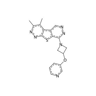 Cc1nnc2sc3c(N4CC(Oc5cccnc5)C4)nncc3c2c1C